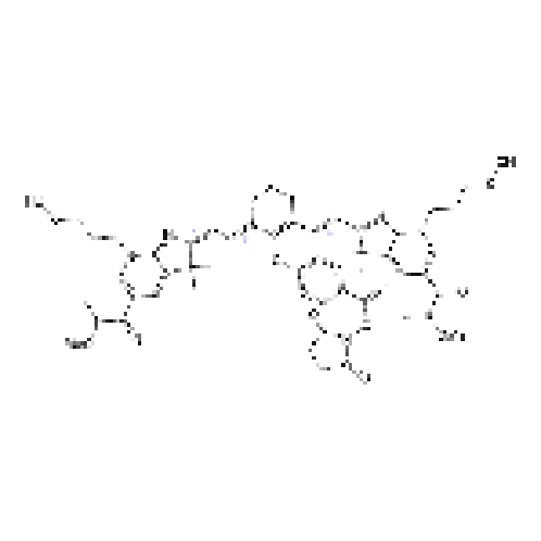 CON(C)C(=O)C1=CN(CCCSO)C2=N/C(=C/C=C3\CCCC(/C=C/C4=NC5C(=CC(C(=O)N(C)OC)=CN5CCCSO)C4(C)C)=C3Oc3ccc(C(=O)ON4C(=O)CCC4=O)cc3)C(C)(C)C2=C1